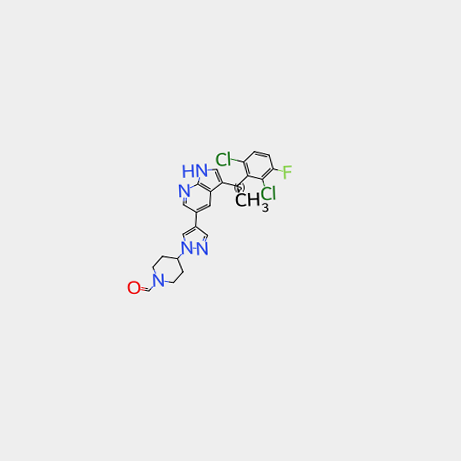 C[C@H](c1c(Cl)ccc(F)c1Cl)c1c[nH]c2ncc(-c3cnn(C4CCN(C=O)CC4)c3)cc12